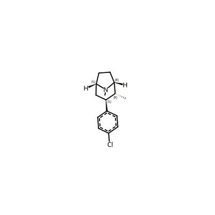 C[C@@H]1[C@@H](c2ccc(Cl)cc2)C[C@@H]2CC[C@H]1N2C